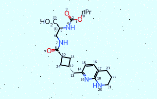 CCCOC(=O)N[C@@H](CNC(=O)[C@H]1C[C@H](Cc2ccc3c(n2)NCCC3)C1)C(=O)O